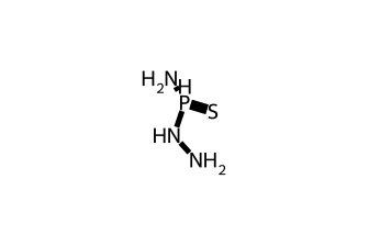 NN[PH](N)=S